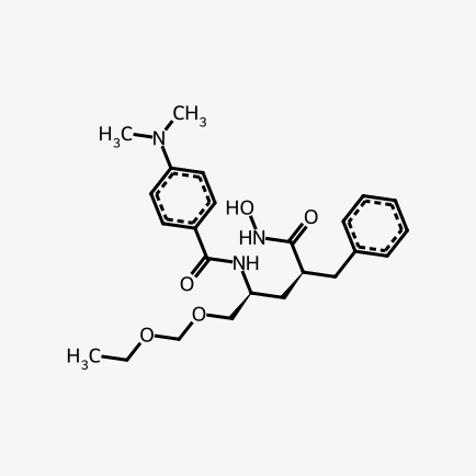 CCOCOC[C@H](C[C@H](Cc1ccccc1)C(=O)NO)NC(=O)c1ccc(N(C)C)cc1